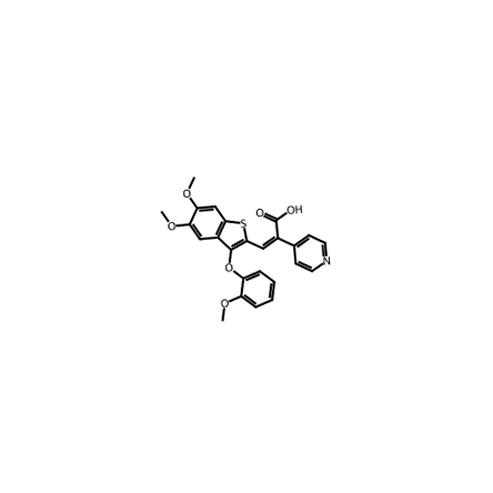 COc1cc2sc(C=C(C(=O)O)c3ccncc3)c(Oc3ccccc3OC)c2cc1OC